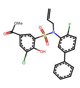 C=CCN(c1cc(-c2ccccc2)ccc1F)S(=O)(=O)c1cc(C(=O)OC)cc(Cl)c1O